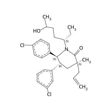 C=CC[C@@]1(C)C[C@H](c2cccc(Cl)c2)[C@@H](c2ccc(Cl)cc2)N([C@@H](CC)CCC(C)O)C1=O